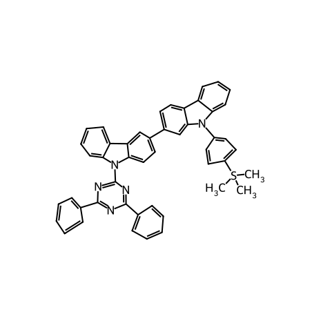 CS(C)(C)c1ccc(-n2c3ccccc3c3ccc(-c4ccc5c(c4)c4ccccc4n5-c4nc(-c5ccccc5)nc(-c5ccccc5)n4)cc32)cc1